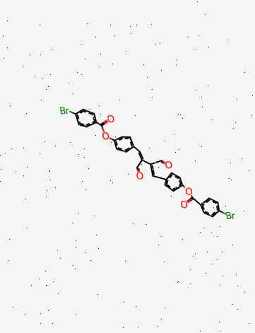 O=CC(=Cc1ccc(OC(=O)c2ccc(Br)cc2)cc1)C(C=O)=Cc1ccc(OC(=O)c2ccc(Br)cc2)cc1